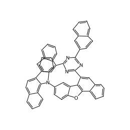 c1ccc(-c2nc(-c3ccc4ccccc4c3)nc(-c3cc4ccccc4c4oc5ccc(-n6c7cc8ccccc8cc7c7ccc8ccccc8c76)cc5c34)n2)cc1